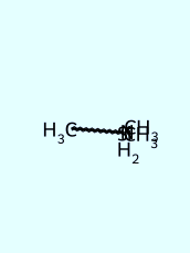 CCCCCCCCCCCCCCCCCC[SiH2]N(C)CC